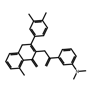 C=C(CC1=C(c2ccc(C)c(C)c2)Cc2cccc(C)c2C1=C)c1cccc(N(C)C)c1